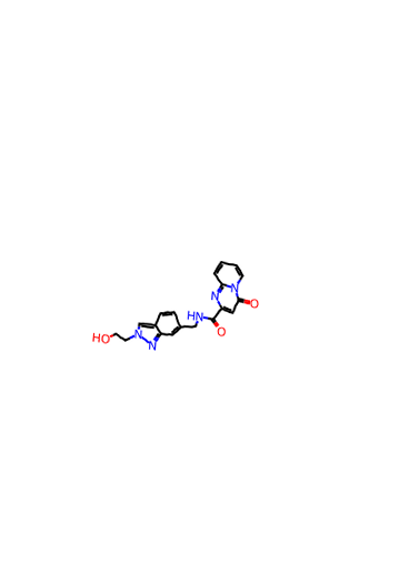 O=C(NCc1ccc2cn(CCO)nc2c1)c1cc(=O)n2ccccc2n1